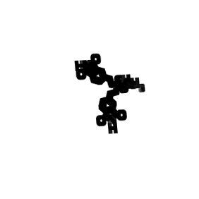 CO[Si](C)(CCc1ccc2c(c1)C(=O)NC2=O)CCc1ccc2c(c1)C(=O)NC2=O